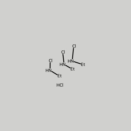 CCNCl.CCNCl.CCNCl.Cl